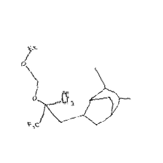 CCOCOC(CC1CC2CC1C(C)C2C)(C(F)(F)F)C(F)(F)F